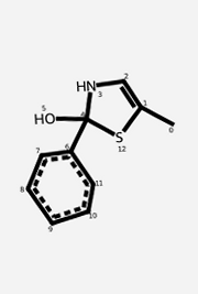 CC1=CNC(O)(c2ccccc2)S1